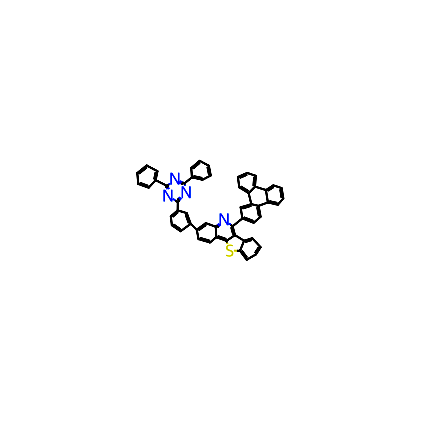 c1ccc(-c2nc(-c3ccccc3)nc(-c3cccc(-c4ccc5c(c4)nc(-c4ccc6c7ccccc7c7ccccc7c6c4)c4c6ccccc6sc54)c3)n2)cc1